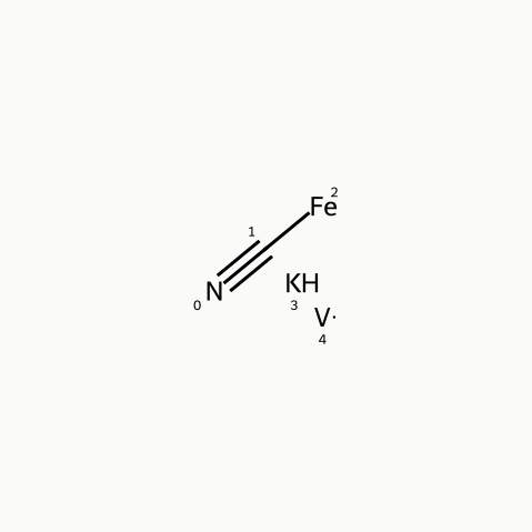 N#[C][Fe].[KH].[V]